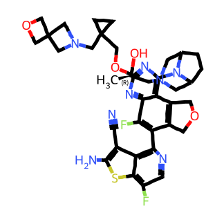 C[C@@H](O)CN1CC2CCC(C1)N2c1nc(OCC2(CN3CC4(COC4)C3)CC2)nc2c(F)c(-c3ncc(F)c4sc(N)c(C#N)c34)c3c(c12)COC3